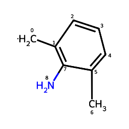 [CH2]c1cccc(C)c1N